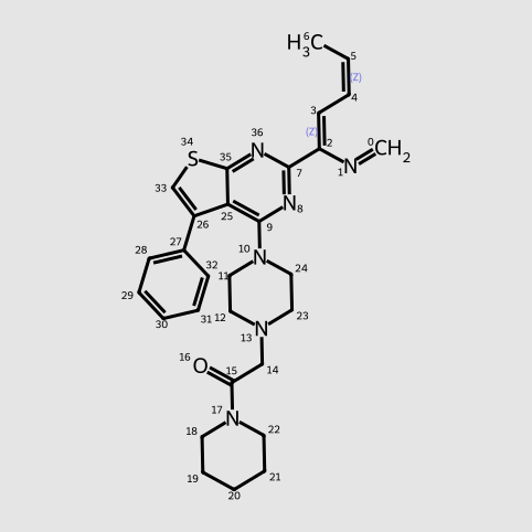 C=N/C(=C\C=C/C)c1nc(N2CCN(CC(=O)N3CCCCC3)CC2)c2c(-c3ccccc3)csc2n1